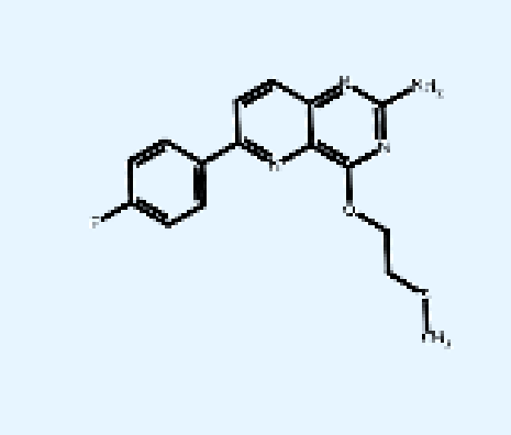 CSCCOc1nc(N)nc2ccc(-c3ccc(F)cc3)nc12